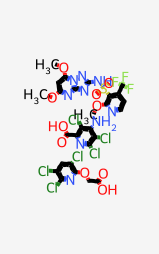 COc1cc(OC)n2nc(NS(=O)(=O)c3c(C(F)(F)F)ccnc3OC)nc2n1.Nc1c(Cl)c(Cl)nc(C(=O)O)c1Cl.O=C(O)COc1nc(Cl)c(Cl)cc1Cl